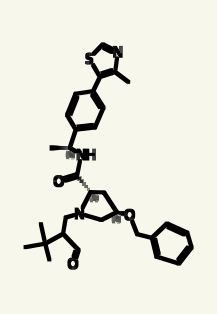 Cc1ncsc1-c1ccc([C@H](C)NC(=O)[C@@H]2C[C@@H](OCc3ccccc3)CN2CC(C=O)C(C)(C)C)cc1